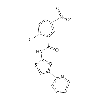 O=C(Nc1nc(-c2ccccn2)cs1)c1cc([N+](=O)[O-])ccc1Cl